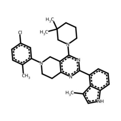 Cc1ccc(Cl)cc1N1CCc2nc(-c3cccc4[nH]cc(C)c34)nc(N3CCCC(C)(C)C3)c2C1